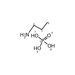 CCCN.O=P(O)(O)O